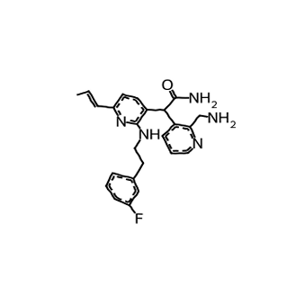 C/C=C/c1ccc(C(C(N)=O)c2cccnc2CN)c(NCCc2cccc(F)c2)n1